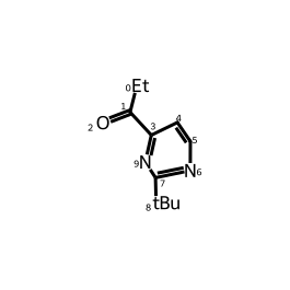 CCC(=O)c1ccnc(C(C)(C)C)n1